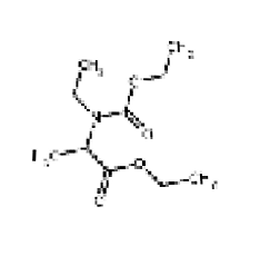 CCOC(=O)C(C)N(CC)C(=O)OCC